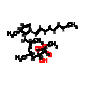 CCCCCCC=C[C@H]1C=C[C@H](C)[C@H]1CC(C)=C=C(C)CC(O)(O)C(=O)OC